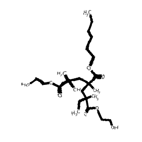 CCCCCCOC(=O)C(C)(CC(C)(C)C(=O)OCCO)CC(C)(CC)C(=O)OCCO